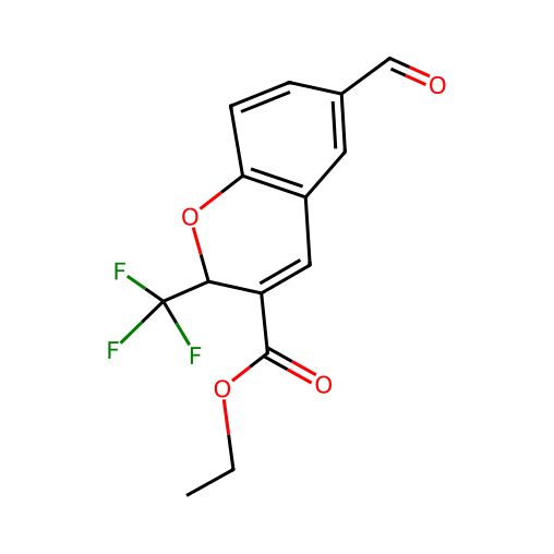 CCOC(=O)C1=Cc2cc(C=O)ccc2OC1C(F)(F)F